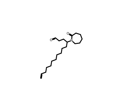 C=CCCCCCCCCCC(CCC=O)N1CCCCCC1=O